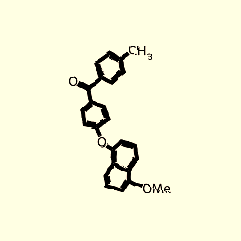 COc1cccc2c(Oc3ccc(C(=O)c4ccc(C)cc4)cc3)cccc12